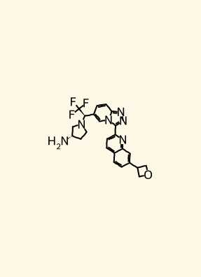 N[C@H]1CCN([C@H](c2ccc3nnc(-c4ccc5ccc(C6COC6)cc5n4)n3c2)C(F)(F)F)C1